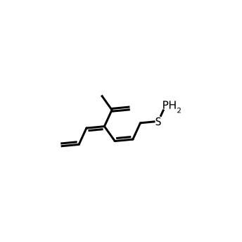 C=C/C=C(\C=C/CSP)C(=C)C